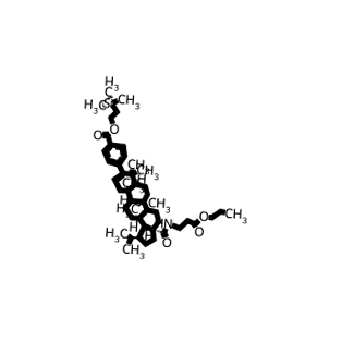 CCCOC(=O)CCNC(=O)[C@]12CC[C@@H](C(C)C)[C@@H]1[C@H]1CC[C@@H]3[C@@]4(C)CC=C(c5ccc(C(=O)OCC[Si](C)(C)C)cc5)C(C)(C)[C@@H]4CC[C@@]3(C)[C@]1(C)CC2